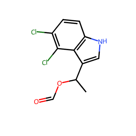 CC(OC=O)c1c[nH]c2ccc(Cl)c(Cl)c12